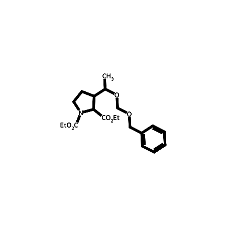 CCOC(=O)C1C(C(C)OCOCc2ccccc2)CCN1C(=O)OCC